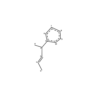 CC=CC(C)c1ccccc1